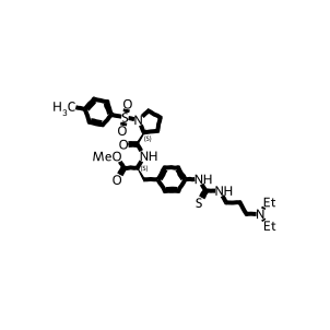 CCN(CC)CCCNC(=S)Nc1ccc(C[C@H](NC(=O)[C@@H]2CCCN2S(=O)(=O)c2ccc(C)cc2)C(=O)OC)cc1